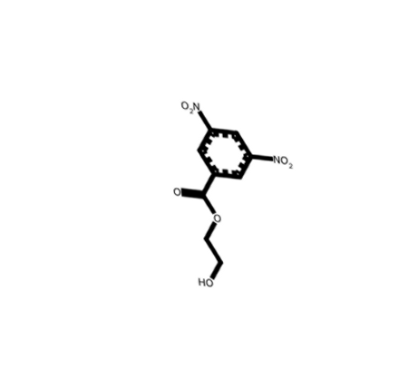 O=C(OCCO)c1cc([N+](=O)[O-])cc([N+](=O)[O-])c1